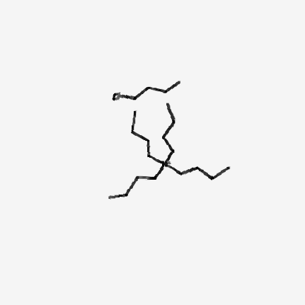 CCCCCl.CCCC[N+](CCCC)(CCCC)CCCC